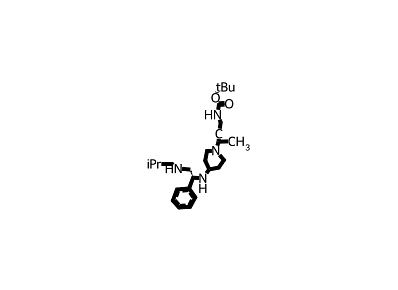 CC(C)CNC[C@H](NC1CCN(C(C)CCNC(=O)OC(C)(C)C)CC1)c1ccccc1